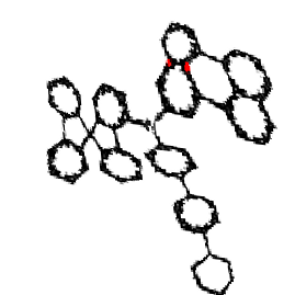 c1ccc(-c2cccc3cccc(-c4cccc(N(c5ccc(-c6ccc(C7CCCCC7)cc6)cc5)c5cccc6c5-c5ccccc5C65c6ccccc6-c6ccccc65)c4)c23)cc1